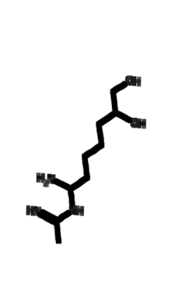 CC(=N)NC(N)CCCCC(O)CO